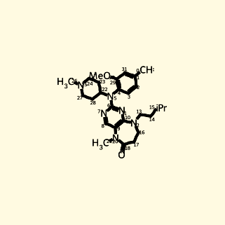 [CH]c1ccc(N(c2ncc3c(n2)N(CCC(C)C)CCC(=O)N3C)C2CCN(C)CC2)c(OC)c1